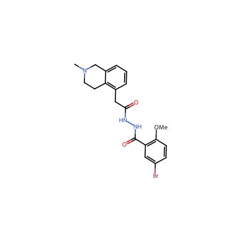 COc1ccc(Br)cc1C(=O)NNC(=O)Cc1cccc2c1CCN(C)C2